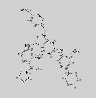 COc1ccc(CN2CC(C)c3c(Nc4ccccc4C(=O)N4CCCC4)nc(Nc4ccc(N5CCOCC5)cc4OC)nc32)cc1